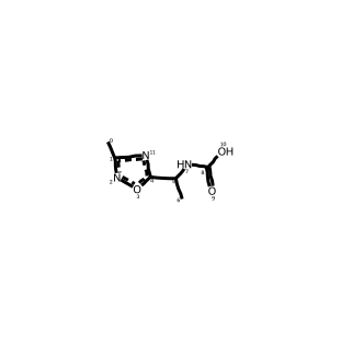 Cc1noc(C(C)NC(=O)O)n1